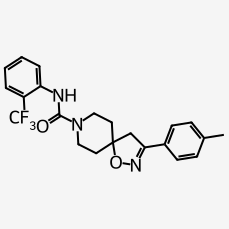 Cc1ccc(C2=NOC3(CCN(C(=O)Nc4ccccc4C(F)(F)F)CC3)C2)cc1